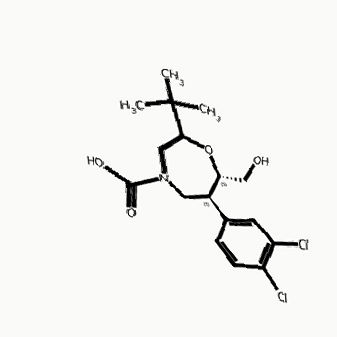 CC(C)(C)C1CN(C(=O)O)C[C@H](c2ccc(Cl)c(Cl)c2)[C@@H](CO)O1